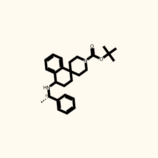 C[C@H](NC1CCC2(CCN(C(=O)OC(C)(C)C)CC2)c2ccccc21)c1ccccc1